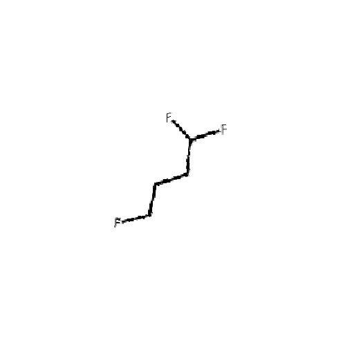 FCCC[C](F)F